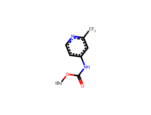 CC(C)(C)OC(=O)Nc1ccnc(C(F)(F)F)c1